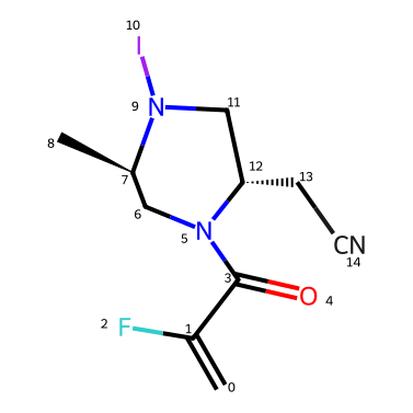 C=C(F)C(=O)N1C[C@@H](C)N(I)C[C@@H]1CC#N